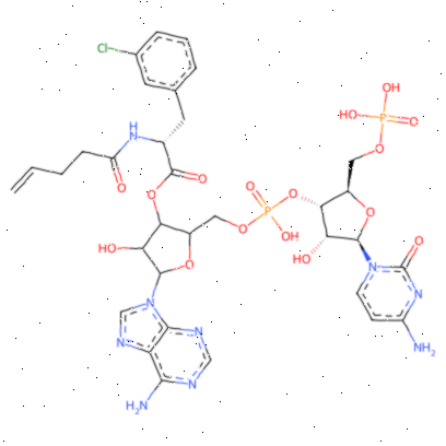 C=CCCC(=O)N[C@H](Cc1cccc(Cl)c1)C(=O)OC1C(COP(=O)(O)O[C@H]2[C@@H](O)[C@H](n3ccc(N)nc3=O)O[C@@H]2COP(=O)(O)O)OC(n2cnc3c(N)ncnc32)C1O